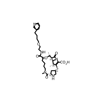 C[C@H]1C(S[C@@H]2CN[C@H](C(=O)N(C)CCCCCC(=O)NCCOCCCCc3cccnc3)C2)=C(C(=O)O)N2C(=O)[C@H]([C@@H](C)O)C12